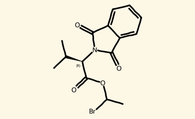 CC(Br)OC(=O)[C@@H](C(C)C)N1C(=O)c2ccccc2C1=O